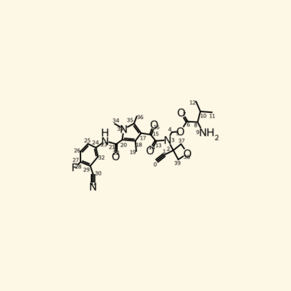 C#CC1(N(COC(=O)C(N)C(C)C)C(=O)C(=O)c2c(C)c(C(=O)Nc3ccc(F)c(C#N)c3)n(C)c2C)COC1